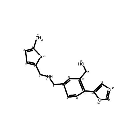 Cc1ccc(CNCc2ccc(-c3cnco3)c(CO)c2)s1